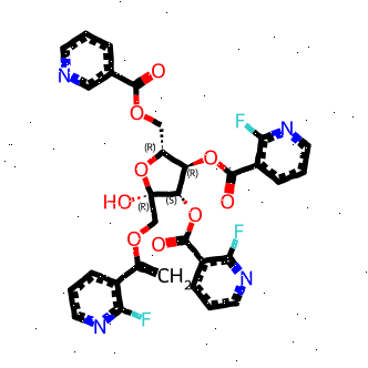 C=C(OC[C@@]1(O)O[C@H](COC(=O)c2cccnc2)[C@@H](OC(=O)c2cccnc2F)[C@@H]1OC(=O)c1cccnc1F)c1cccnc1F